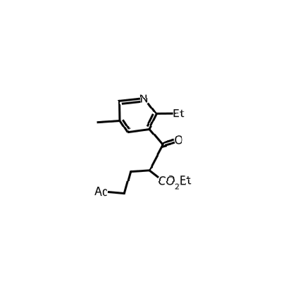 CCOC(=O)C(CCC(C)=O)C(=O)c1cc(C)cnc1CC